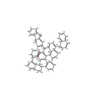 c1ccc(-c2cc(N(c3ccc4c(c3)oc3ccccc34)c3ccc(-c4cccc5ccccc45)c4ccccc34)ccc2-c2cccc3cccc(-c4ccccc4)c23)cc1